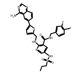 CCCS(=O)(=O)Nc1cnc(NCc2ccc(-c3ccc4ncnc(N)c4c3)s2)c(C(=O)NCc2ccc(F)c(F)c2)c1